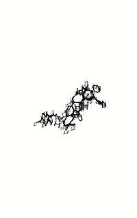 Cn1nnc(CNC[C@]23CCC(C)(C)C[C@H]2[C@H]2C(=O)C[C@@H]4[C@@]5(C)C=C(C#N)C(=O)C(C)(C)[C@@H]5CC[C@@]4(C)[C@]2(C)CC3)n1